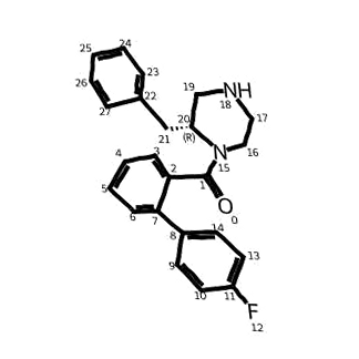 O=C(c1ccccc1-c1ccc(F)cc1)N1CCNC[C@H]1Cc1ccccc1